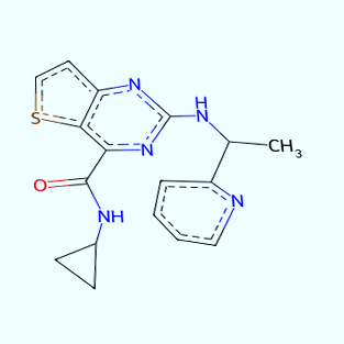 CC(Nc1nc(C(=O)NC2CC2)c2sccc2n1)c1ccccn1